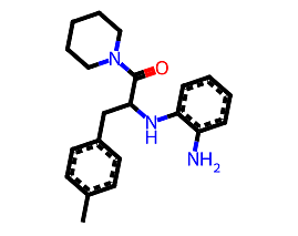 Cc1ccc(CC(Nc2ccccc2N)C(=O)N2CCCCC2)cc1